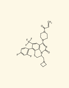 C=CC(=O)N1CCN(c2nc(=O)n3c4c(c(-c5ccc(F)cc5F)c(C(F)(F)F)cc24)SCC3CN2CCC2)CC1